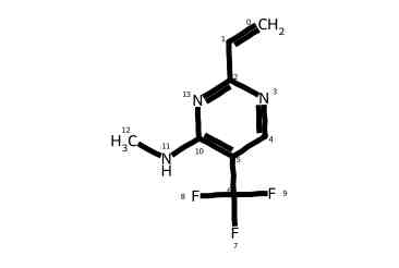 C=Cc1ncc(C(F)(F)F)c(NC)n1